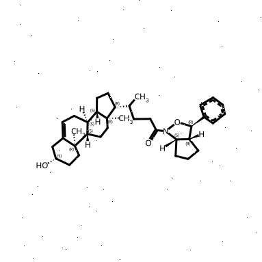 CC(CCC(=O)N1O[C@@H](c2ccccc2)[C@@H]2CCC[C@@H]21)[C@H]1CC[C@H]2[C@@H]3CC=C4C[C@@H](O)CC[C@]4(C)[C@H]3CC[C@]12C